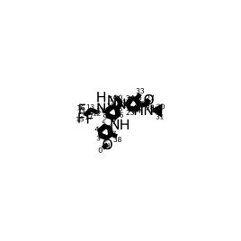 COc1cccc(Nc2cc(NCCC(F)(F)F)c3ncn(-c4ccc(C(=O)NC5CC5)c(C)c4)c3c2)c1C